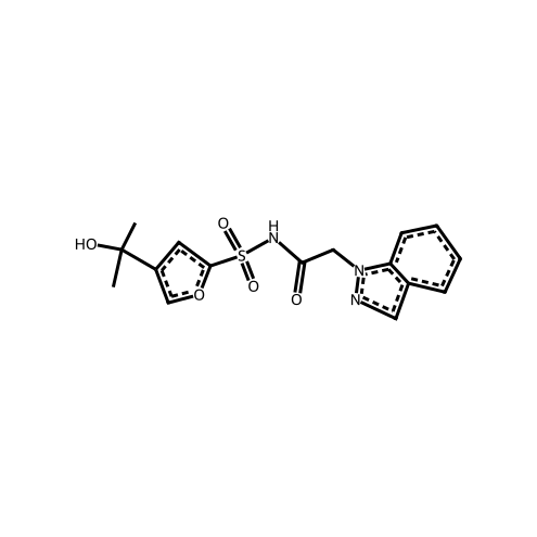 CC(C)(O)c1coc(S(=O)(=O)NC(=O)Cn2ncc3ccccc32)c1